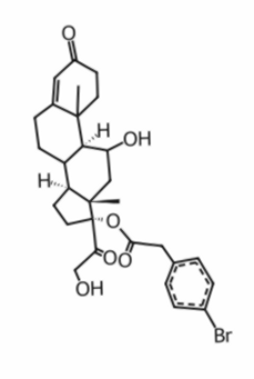 CC12CCC(=O)C=C1CCC1[C@@H]2C(O)C[C@@]2(C)[C@H]1CC[C@]2(OC(=O)Cc1ccc(Br)cc1)C(=O)CO